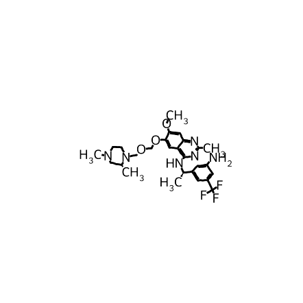 COc1cc2nc(C)nc(N[C@H](C)c3cc(N)cc(C(F)(F)F)c3)c2cc1OCOCN1CCN(C)C[C@@H]1C